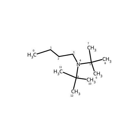 CCC[CH]N(C(C)(C)C)C(C)(C)C